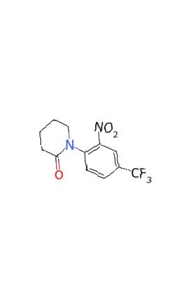 O=C1CCCCN1c1ccc(C(F)(F)F)cc1[N+](=O)[O-]